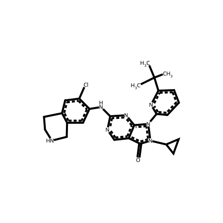 CC(C)(C)c1cccc(-n2c3nc(Nc4cc5c(cc4Cl)CCNC5)ncc3c(=O)n2C2CC2)n1